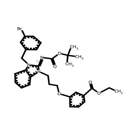 CCOC(=O)c1cccc(OCCCn2/c(=N\C(=O)OC(C)(C)C)n(Cc3cccc(Br)c3)c3ccccc32)c1